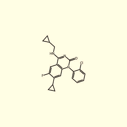 O=c1nc(NCC2CC2)c2cc(F)c(C3CC3)cc2n1-c1ccccc1Cl